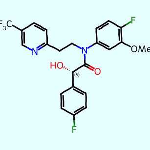 COc1cc(N(CCc2ccc(C(F)(F)F)cn2)C(=O)[C@@H](O)c2ccc(F)cc2)ccc1F